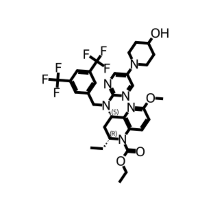 CCOC(=O)N1c2ccc(OC)nc2[C@@H](N(Cc2cc(C(F)(F)F)cc(C(F)(F)F)c2)c2ncc(N3CCC(O)CC3)cn2)C[C@H]1CC